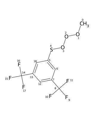 COOOSc1cc(C(F)(F)F)cc(C(F)(F)F)c1